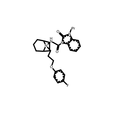 CC(C)n1c(=O)n(C(=O)N[N+]2(CCCOc3ccc(F)cc3)C3CCCC2CC3)c2ccccc21